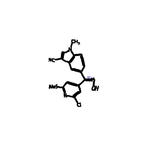 CSc1cc(/C(=N\O)c2ccc3c(c2)c(C#N)cn3C)cc(Cl)n1